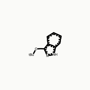 CC(C)(C)Oc1n[nH]c2ccccc12